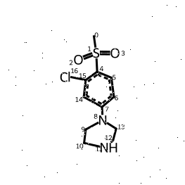 CS(=O)(=O)c1ccc(N2CCNCC2)cc1Cl